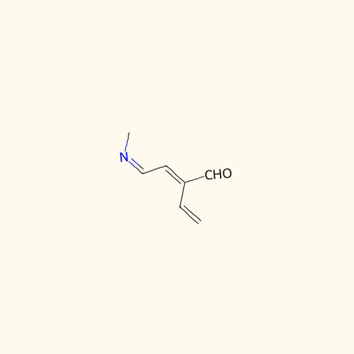 C=C/C(C=O)=C\C=N/C